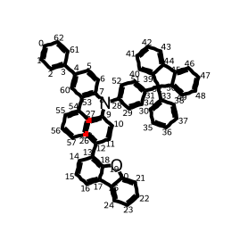 c1ccc(-c2ccc(N(c3ccc(-c4cccc5c4oc4ccccc45)cc3)c3ccc(C4(c5ccccc5)c5ccccc5-c5ccccc54)cc3)c(-c3ccccc3)c2)cc1